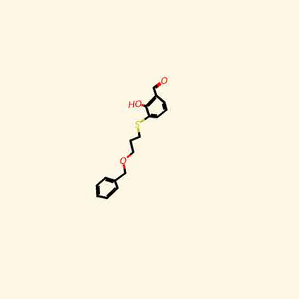 O=Cc1cccc(SCCCOCc2ccccc2)c1O